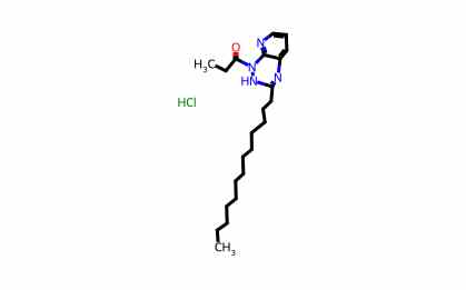 CCCCCCCCCCCCCC1=Nc2cccnc2N(C(=O)CC)N1.Cl